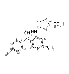 Cc1nnc([C@@H](C)c2ccc(F)cc2)c(N[C@@H]2CCN(C(=O)O)C2)n1